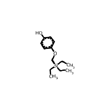 CC[Si](CC)(CC)COc1ccc(O)cc1